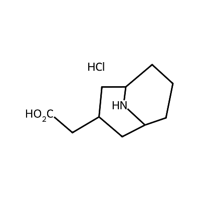 Cl.O=C(O)CC1CC2CCCC(C1)N2